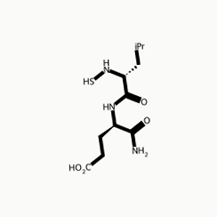 CC(C)C[C@@H](NS)C(=O)N[C@H](CCC(=O)O)C(N)=O